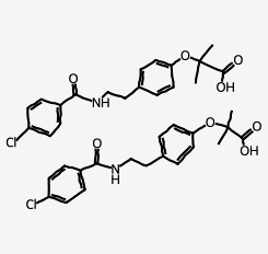 CC(C)(Oc1ccc(CCNC(=O)c2ccc(Cl)cc2)cc1)C(=O)O.CC(C)(Oc1ccc(CCNC(=O)c2ccc(Cl)cc2)cc1)C(=O)O